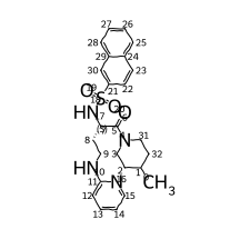 CC1CCN(C(=O)[C@H](CCNc2ccccn2)NS(=O)(=O)c2ccc3ccccc3c2)CC1